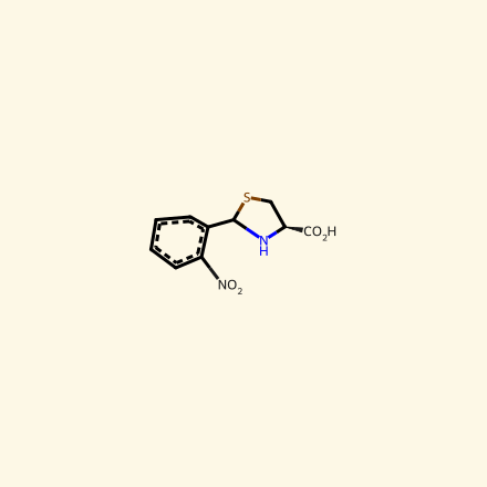 O=C(O)[C@@H]1CSC(c2ccccc2[N+](=O)[O-])N1